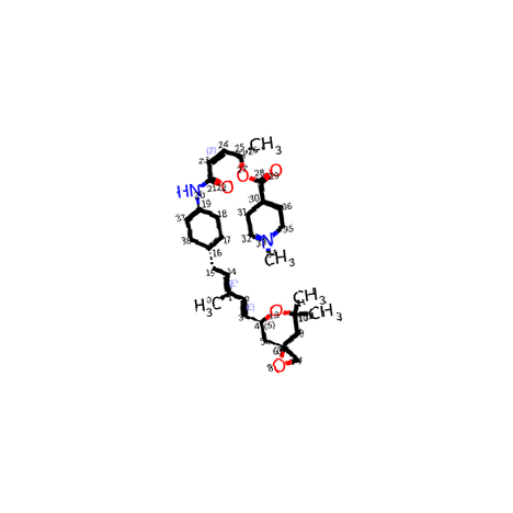 CC(/C=C/[C@@H]1C[C@]2(CO2)CC(C)(C)O1)=C\C[C@H]1CC[C@H](NC(=O)/C=C\[C@H](C)OC(=O)C2CCN(C)CC2)CC1